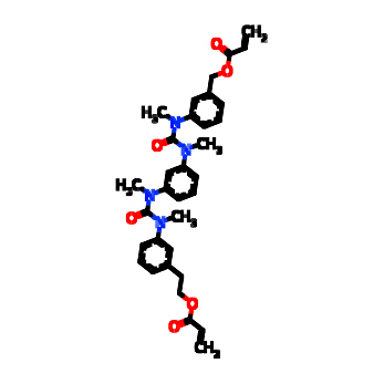 C=CC(=O)OCCc1cccc(N(C)C(=O)N(C)c2cccc(N(C)C(=O)N(C)c3cccc(COC(=O)C=C)c3)c2)c1